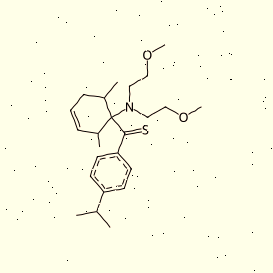 COCCN(CCOC)C1(C(=S)c2ccc(C(C)C)cc2)C(C)C=CCC1C